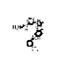 Cc1cc(Nc2cc(NC(=O)c3cccc(C(F)(F)F)c3)ccc2C)n(-c2cc(NCCN)ncn2)n1